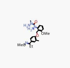 CC/C(=N\OC)c1ccc(OCc2c(OC)cccc2N(N)C(=O)N(C)N)c(C)c1